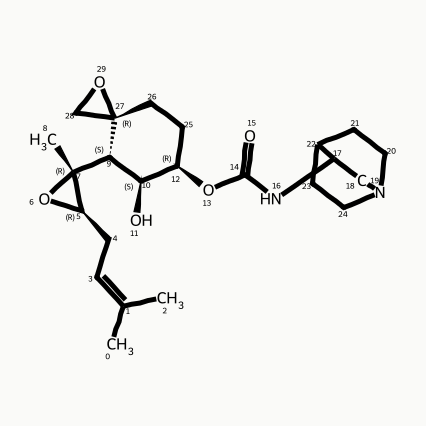 CC(C)=CC[C@H]1O[C@]1(C)[C@H]1[C@H](O)[C@H](OC(=O)NC2CN3CCC2CC3)CC[C@]12CO2